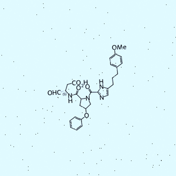 COc1ccc(CCCc2cnc(C(=O)N3CC(Oc4ccccc4)CC3C(=O)N[C@H](C=O)CC(=O)O)[nH]2)cc1